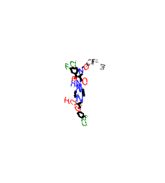 O=C(NN1CCN(C[C@H](O)COc2ccc(Cl)c(F)c2)CC1)c1cn(COC(F)(F)F)c2cc(Cl)c(F)cc2c1=O